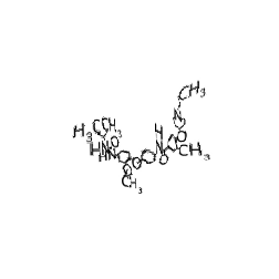 CCCCN1CCC(Oc2ccc(C(=O)Nc3ccc(Oc4ccc(NC(=O)NC(CC)CC)cc4OCC)cc3)cc2C)CC1